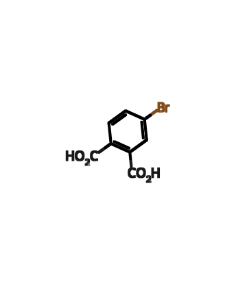 O=C(O)c1ccc(Br)cc1[14C](=O)O